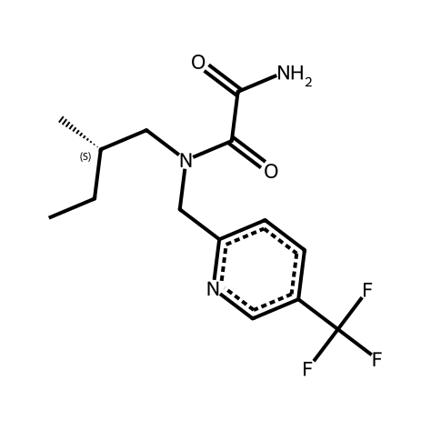 CC[C@H](C)CN(Cc1ccc(C(F)(F)F)cn1)C(=O)C(N)=O